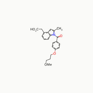 COCCCOc1ccc(C(=O)n2c(C)cc3c(CC(=O)O)cccc32)cc1